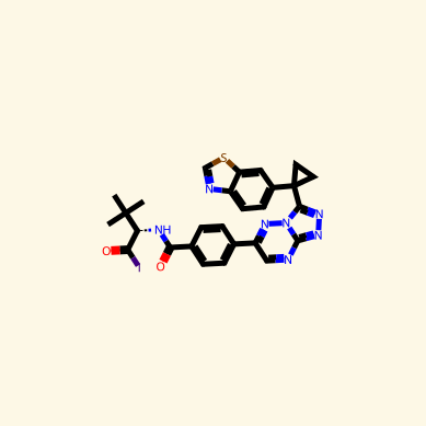 CC(C)(C)[C@H](NC(=O)c1ccc(-c2cnc3nnc(C4(c5ccc6ncsc6c5)CC4)n3n2)cc1)C(=O)I